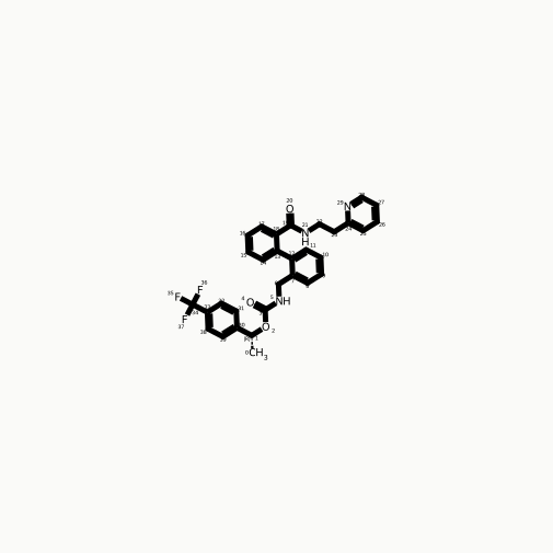 C[C@@H](OC(=O)NCc1ccccc1-c1ccccc1C(=O)NCCc1ccccn1)c1ccc(C(F)(F)F)cc1